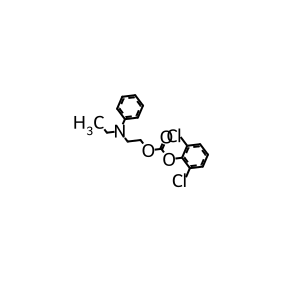 CCN(CCOC(=O)Oc1c(Cl)cccc1Cl)c1ccccc1